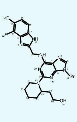 CC(C)n1cnc2c(NCc3nc4c(F)c(F)ccc4[nH]3)nc(N3CCCCC3CCO)nc21